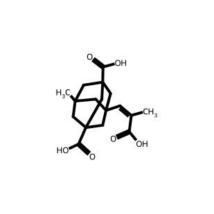 CC(=CC12CC3(C)CC(C(=O)O)(C1)CC(C(=O)O)(C3)C2)C(=O)O